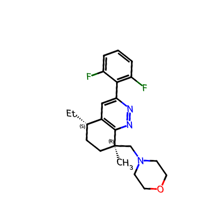 CC[C@H]1CC[C@](C)(CN2CCOCC2)c2nnc(-c3c(F)cccc3F)cc21